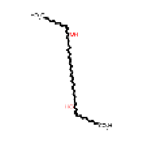 O=C(O)CCCCCCC/C=C\C[C@H](O)CCCCCCCCCCCCCCCCCCCCCC[C@@H](O)C/C=C\CCCCCCCC(=O)O